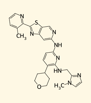 Cc1cccnc1-c1nc2cc(Nc3ccc(C4CCOCC4)c(NCc4nccn4C)n3)ncc2s1